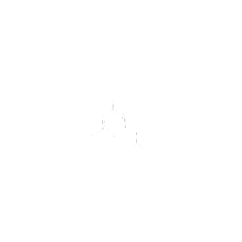 Nc1cc(Cl)cc(CCF)c1